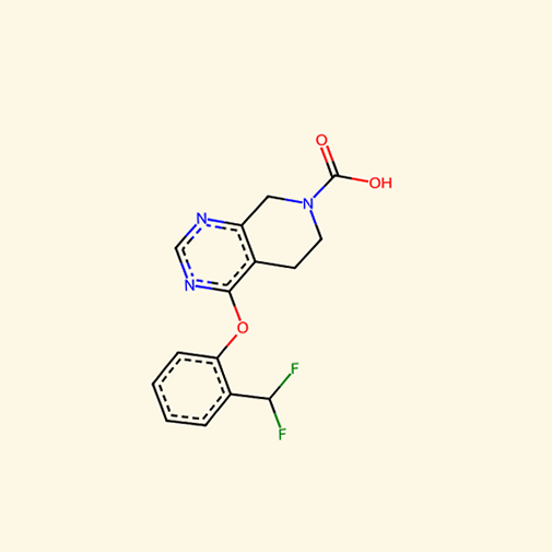 O=C(O)N1CCc2c(ncnc2Oc2ccccc2C(F)F)C1